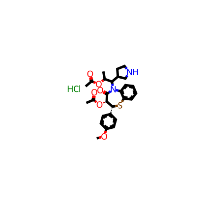 COc1ccc([C@H]2Sc3ccccc3N(C(C3CCNC3)C(C)OC(C)=O)C(=O)[C@H]2OC(C)=O)cc1.Cl